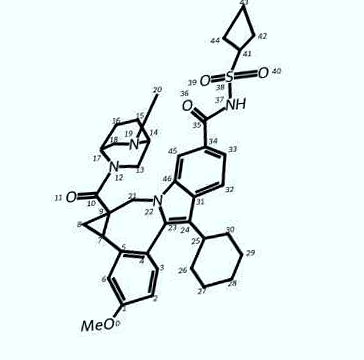 COc1ccc2c(c1)C1CC1(C(=O)N1CC3CCC1CN3C)Cn1c-2c(C2CCCCC2)c2ccc(C(=O)NS(=O)(=O)C3CCC3)cc21